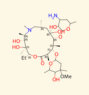 CC[C@H]1OC(=O)[C@H](C)[C@@H](OC2CC(C)(OC)C(O)C(C)O2)[C@H](C)[C@@H](OC2OC(C)CC(N)C2O)[C@](C)(O)C[C@@H](C)CN(C)[C@H](C)[C@@H](O)[C@]1(C)O